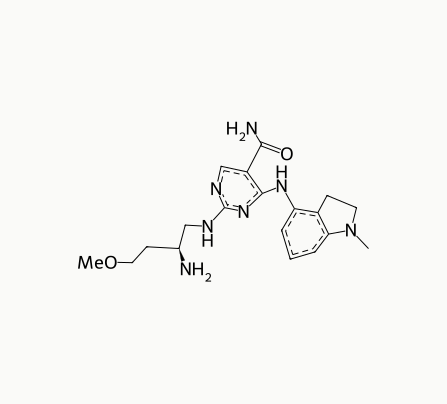 COCC[C@H](N)CNc1ncc(C(N)=O)c(Nc2cccc3c2CCN3C)n1